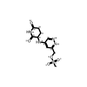 CS(=O)(=O)OCc1cc(NC2CCC(=O)NC2=O)cnn1